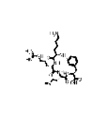 CSCC[C@H](NC(=O)[C@H](CCCNC(=N)N)NC(=O)[C@@H](N)CCCCN)C(=O)N[C@@H](Cc1ccccc1)C(=O)O